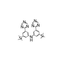 C[Si](C)(C)c1cc(Nc2cc(-c3ncncn3)cc([Si](C)(C)C)c2)cc(-c2ncncn2)c1